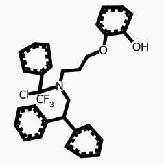 Oc1ccccc1OCCCN(CC(c1ccccc1)c1ccccc1)C(Cl)(c1ccccc1)C(F)(F)F